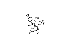 C[C@@H](Nc1ccc(Cl)nc1C(=O)O)c1cc(F)cc2c(=O)n(C)c(N3CCC(F)(F)C3)nc12